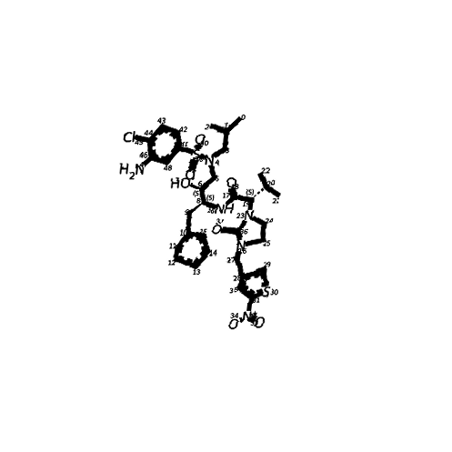 CC(C)CN(C[C@H](O)[C@H](Cc1ccccc1)NC(=O)[C@H](C(C)C)N1CCN(Cc2csc([N+](=O)[O-])c2)C1=O)S(=O)(=O)c1ccc(Cl)c(N)c1